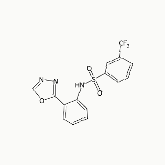 O=S(=O)(Nc1ccccc1-c1nnco1)c1cccc(C(F)(F)F)c1